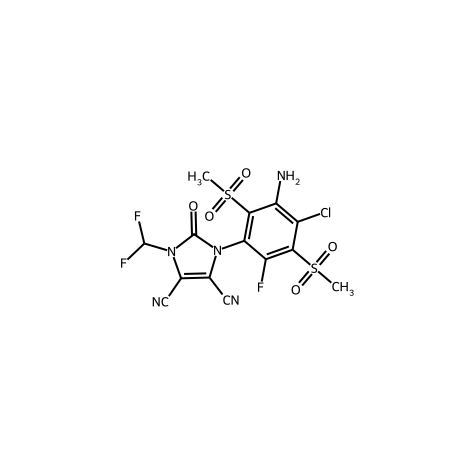 CS(=O)(=O)c1c(F)c(-n2c(C#N)c(C#N)n(C(F)F)c2=O)c(S(C)(=O)=O)c(N)c1Cl